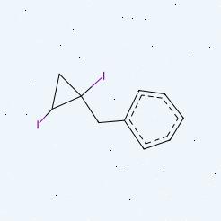 IC1CC1(I)Cc1ccccc1